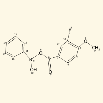 COc1ccc(C(=O)OB(O)c2ccccc2)cc1F